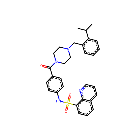 CC(C)c1ccccc1CN1CCN(C(=O)c2ccc(NS(=O)(=O)c3cccc4cccnc34)cc2)CC1